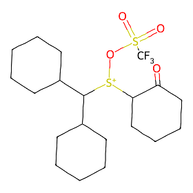 O=C1CCCCC1[S+](OS(=O)(=O)C(F)(F)F)C(C1CCCCC1)C1CCCCC1